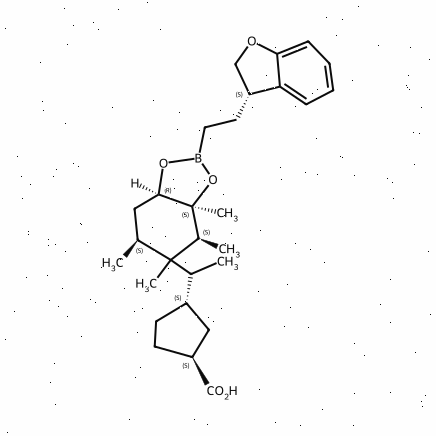 CC([C@H]1CC[C@H](C(=O)O)C1)C1(C)[C@@H](C)C[C@H]2OB(CC[C@@H]3COc4ccccc43)O[C@@]2(C)[C@H]1C